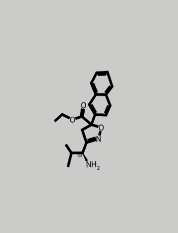 CCOC(=O)C1(c2ccc3ccccc3c2)CC([C@@H](N)C(C)C)=NO1